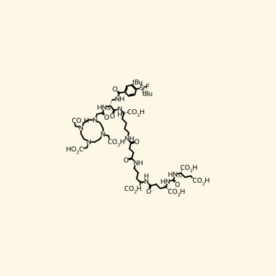 CC(C)(C)[Si](F)(c1ccc(C(=O)NC[C@@H](NC(=O)CN2CCN(CC(=O)O)CCN(CC(=O)O)CCN(CC(=O)O)CC2)C(=O)N[C@@H](CCCCNC(=O)CCC(=O)NCCC[C@@H](NC(=O)CC[C@H](NC(=O)N[C@@H](CCC(=O)O)C(=O)O)C(=O)O)C(=O)O)C(=O)O)cc1)C(C)(C)C